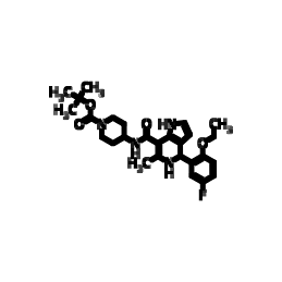 CCOc1ccc(F)cc1C1NC(C)=C(C(=O)NC2CCN(C(=O)OC(C)(C)C)CC2)c2[nH]ccc21